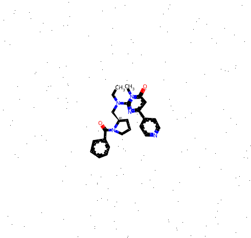 CCN(C[C@H]1CCCN1C(=O)c1ccccc1)c1nc(-c2ccncc2)cc(=O)n1C